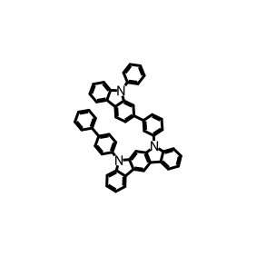 c1ccc(-c2ccc(-n3c4ccccc4c4cc5c6ccccc6n(-c6cccc(-c7ccc8c9ccccc9n(-c9ccccc9)c8c7)c6)c5cc43)cc2)cc1